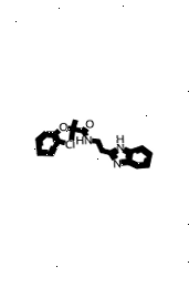 CC(C)(Oc1ccccc1Cl)C(=O)NCCc1nc2ccccc2[nH]1